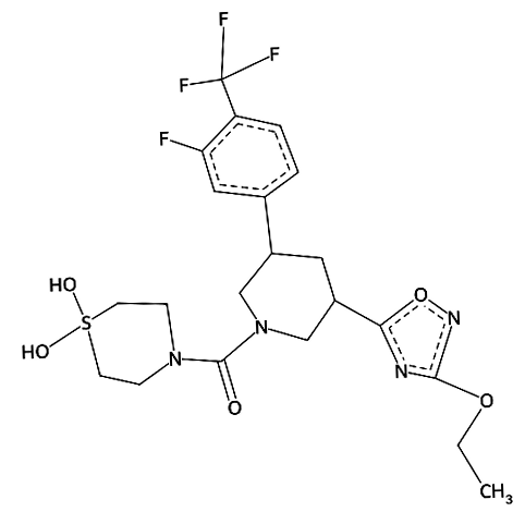 CCOc1noc(C2CC(c3ccc(C(F)(F)F)c(F)c3)CN(C(=O)N3CCS(O)(O)CC3)C2)n1